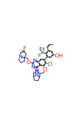 C/C=C\c1cc(O)cc(-c2cc3nc(OCC45CCCN4C[C@H](F)C5)nc4c3c(c2Cl)OCC2C3CCC(CN42)N3)c1C(F)CC